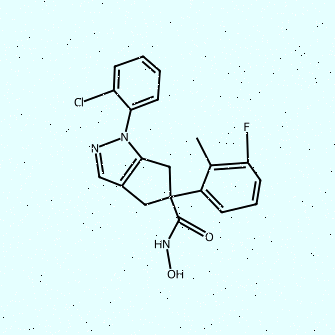 Cc1c(F)cccc1C1(C(=O)NO)Cc2cnn(-c3ccccc3Cl)c2C1